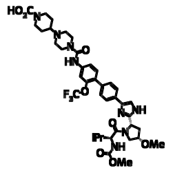 COC(=O)N[C@H](C(=O)N1C[C@@H](OC)C[C@H]1c1nc(-c2ccc(-c3ccc(NC(=O)N4CCN(C5CCN(C(=O)O)CC5)CC4)cc3OC(F)(F)F)cc2)c[nH]1)C(C)C